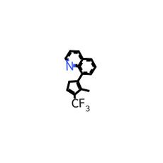 CC1=C(c2cccc3cccnc23)CC=C1C(F)(F)F